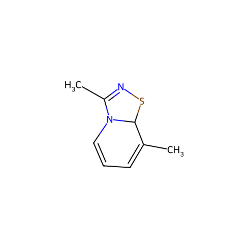 CC1=CC=CN2C(C)=NSC12